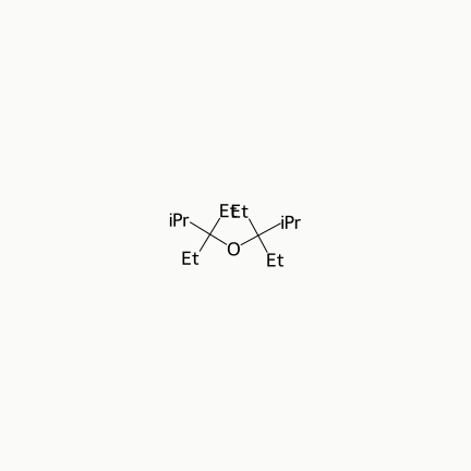 CCC(CC)(OC(CC)(CC)C(C)C)C(C)C